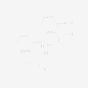 O=P(O)(O)c1ccccc1O.O=P(O)(O)c1ccccc1O.[K]